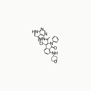 C[C@H](Nc1ncnc2[nH]ccc(=O)c12)c1c(Cl)c2cccc(NC3CCOCC3)c2c(=O)n1-c1ccccc1